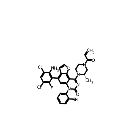 C=CC(=O)N1CCN(c2nc(=O)n(-c3ccccc3C(C)C)c3cc(-c4c(N)c(Cl)cc(Cl)c4F)c4ccoc4c23)[C@@H](C)C1